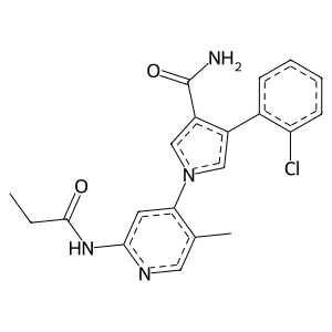 CCC(=O)Nc1cc(-n2cc(C(N)=O)c(-c3ccccc3Cl)c2)c(C)cn1